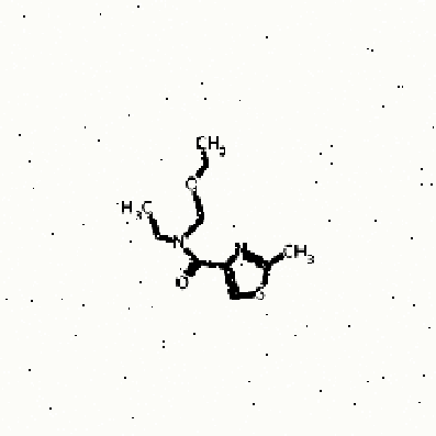 CCOCN(CC)C(=O)c1csc(C)n1